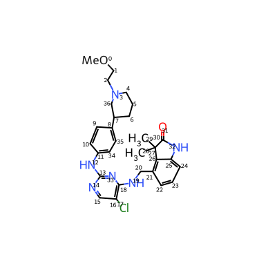 COCCN1CCCC(c2ccc(Nc3ncc(Cl)c(NCc4cccc5c4C(C)(C)C(=O)N5)n3)cc2)C1